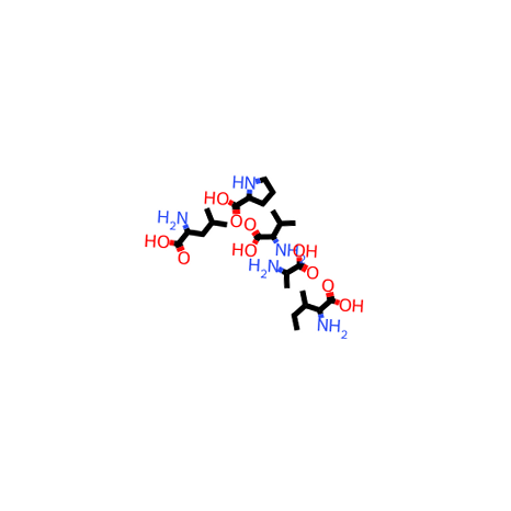 CC(C)C(N)C(=O)O.CC(C)CC(N)C(=O)O.CC(N)C(=O)O.CCC(C)C(N)C(=O)O.O=C(O)C1CCCN1